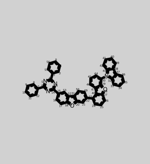 c1ccc(-c2nc(-c3ccccc3)nc(-c3ccc4oc5cc(-c6cccc7oc8c(-n9c%10ccccc%10c%10ccccc%109)cccc8c67)ccc5c4c3)n2)cc1